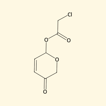 O=C1C=CC(OC(=O)CCl)OC1